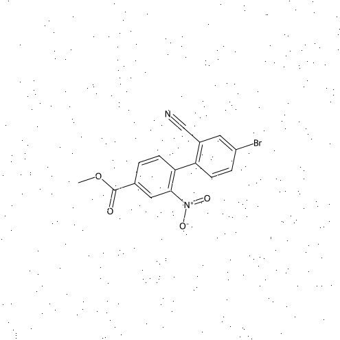 COC(=O)c1ccc(-c2ccc(Br)cc2C#N)c([N+](=O)[O-])c1